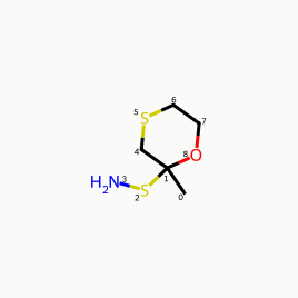 CC1(SN)CSCCO1